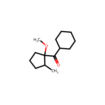 COC1(C(=O)C2CCCCC2)CCCC1C